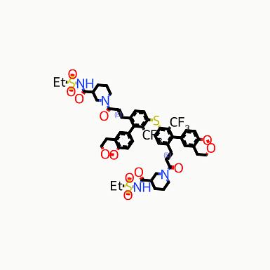 CCS(=O)(=O)NC(=O)C1CCCN(C(=O)/C=C/c2ccc(Sc3ccc(/C=C/C(=O)N4CCCC(C(=O)NS(=O)(=O)CC)C4)c(-c4ccc5c(c4)CCOO5)c3C(F)(F)F)c(C(F)(F)F)c2-c2ccc3c(c2)CCOO3)C1